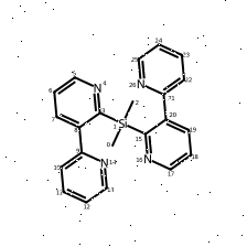 C[Si](C)(c1ncccc1-c1ccccn1)c1ncccc1-c1ccccn1